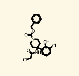 Cc1c(Cl)cccc1C1(NC(=O)CCl)CCN(C(=O)OCc2ccccc2)CC1